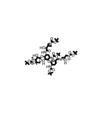 CN(C(=O)OC(C)(C)C)[C@@H]1[C@@H](O)[C@@H](O[C@@H]2[C@@H](O)[C@H](O[C@H]3OC(CNCC(O)CNC(=O)OC(C)(C)C)=CC[C@H]3NC(=O)OC(C)(C)C)[C@@H](NC(=O)OC(C)(C)C)C[C@H]2NC(=O)[C@@H](O)C2CN(C(=O)OC(C)(C)C)C2)OC[C@]1(C)O